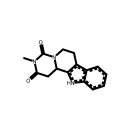 CN1C(=O)CC2c3[nH]c4ccccc4c3CCN2C1=O